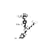 CCC(=O)CCCCCC(NC(=O)C1=NOC2(CCN(C)CC2)C1)c1ncc(-c2ccc(B3OC(C)(C)C(C)(C)O3)cc2OC)o1